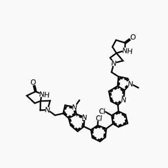 Cn1cc(CN2CC3(CCC(=O)N3)C2)c2ccc(-c3cccc(-c4cccc(-c5ccc6c(CN7CC8(CCC(=O)N8)C7)cn(C)c6n5)c4Cl)c3Cl)nc21